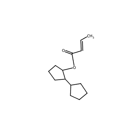 CC=CC(=O)OC1CCCC1C1CCCC1